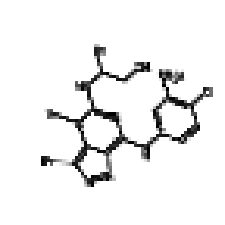 CC(C)c1nnc2c(Nc3ccc(Cl)c(C(=O)O)c3)nc(NC(CO)C(C)C)n(C(C)C)c1-2